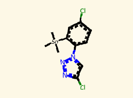 [CH3][Sn]([CH3])([CH3])[c]1cc(Cl)ccc1-n1cc(Cl)nn1